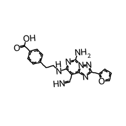 N=Cc1c(NCCc2ccc(C(=O)O)cc2)nc(N)n2nc(-c3ccco3)nc12